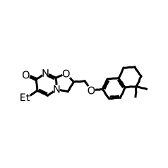 CCc1cn2c(nc1=O)OC(COc1ccc3c(c1)CCCC3(C)C)C2